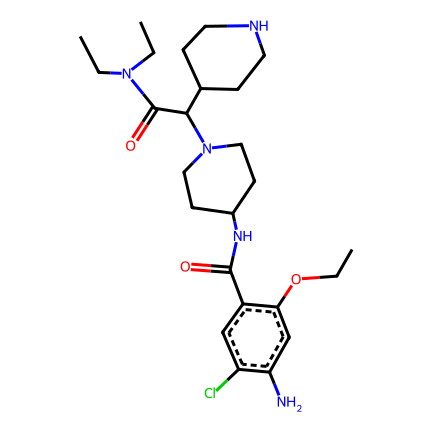 CCOc1cc(N)c(Cl)cc1C(=O)NC1CCN(C(C(=O)N(CC)CC)C2CCNCC2)CC1